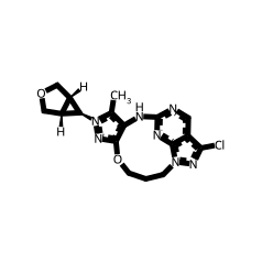 Cc1c2c(nn1[C@H]1[C@@H]3COC[C@@H]31)OCCCn1nc(Cl)c3cnc(nc31)N2